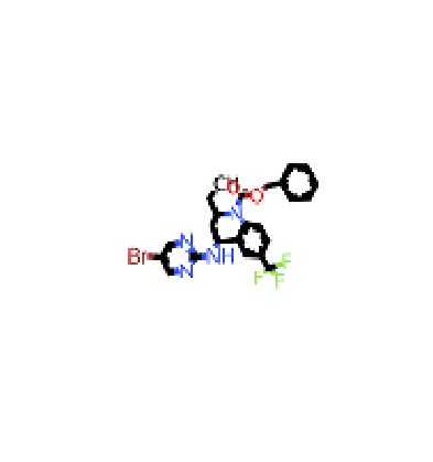 CCC1CC(Nc2ncc(Br)cn2)c2cc(C(F)(F)F)ccc2N1C(=O)OCc1ccccc1